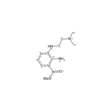 COC(=O)c1cccc(NCCN(C)C)c1N